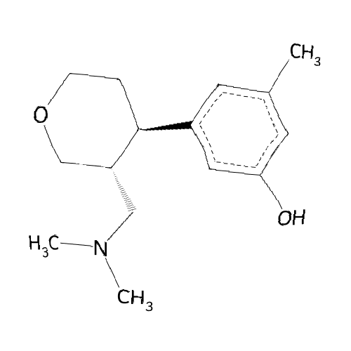 Cc1cc(O)cc([C@@H]2CCOC[C@H]2CN(C)C)c1